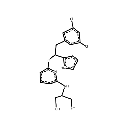 CC(C)CC(CO)Nc1cccc(OC(Cc2cc(Cl)cc(Cl)c2)c2ncc[nH]2)n1